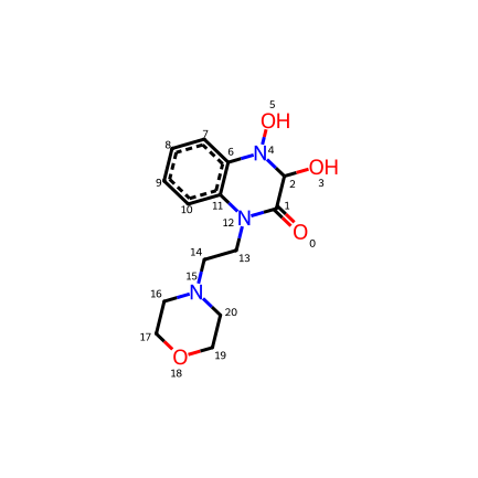 O=C1C(O)N(O)c2ccccc2N1CCN1CCOCC1